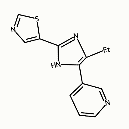 CCc1nc(-c2cncs2)[nH]c1-c1cccnc1